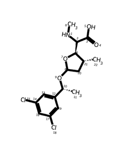 CNC(C(=O)O)[C@@H]1OC(O[C@H](C)c2cc(Cl)cc(Cl)c2)C[C@H]1C